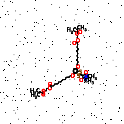 C=C(C)C(=O)OCCOC(=O)CCCCCCCCCCOc1ccc(OCCCCCCCCCCC(=O)OCCOC(=O)C(=C)C)c2c1SC(=C1C(=O)N(C)N(C)C1=O)S2